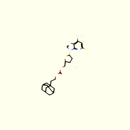 C[C@]1(COC(=O)OCCC23CC4CC(CC(C4)C2)C3)O[C@@H](n2cnc3c(N)cc(F)nc32)C[C@@H]1O